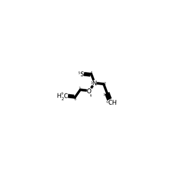 C#CCN(C=S)OCC=C